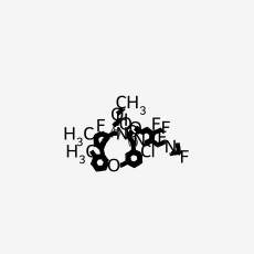 CCOC(=O)C[C@@H]1NC(=O)[C@@H](n2cc(CCN3CC(F)C3)c(C(F)(F)F)cc2=O)c2cc(ccc2Cl)COc2cccc(C)c2-c2cc(C)c(F)c1c2